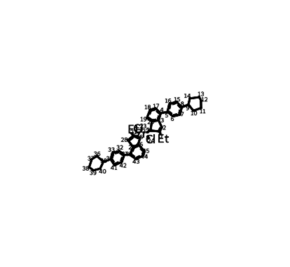 CCC1=Cc2c(-c3ccc(C4CCCCC4)cc3)cccc2[CH]1[Zr]([Cl])([Cl])[CH]1C(CC)=Cc2c(-c3ccc(C4CCCCC4)cc3)cccc21